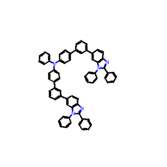 c1ccc(-c2nc3ccc(-c4cccc(-c5ccc(N(c6ccccc6)c6ccc(-c7cccc(-c8ccc9nc(-c%10ccccc%10)n(-c%10ccccc%10)c9c8)c7)cc6)cc5)c4)cc3n2-c2ccccc2)cc1